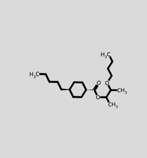 CCCCC[C@H]1CC[C@H](C(=O)OC(C)C(C)OCCCC)CC1